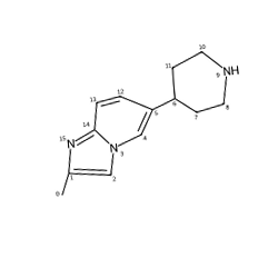 Cc1cn2cc(C3CCNCC3)ccc2n1